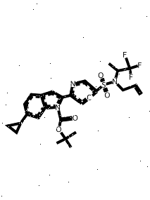 C=CCN(C(C)C(F)(F)F)S(=O)(=O)c1ccc(-c2cc3ccc(C4CC4)cc3n2C(=O)OC(C)(C)C)nc1